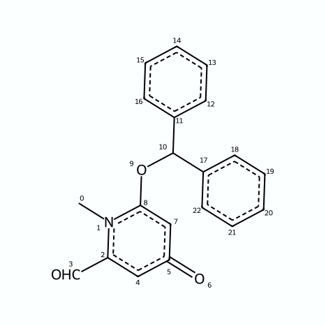 Cn1c(C=O)cc(=O)cc1OC(c1ccccc1)c1ccccc1